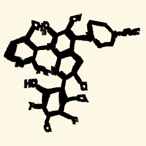 CC(=O)N1CCN(c2c(C#N)c(=O)n(-c3c(C)ccnc3C(C)C)c3nc(-c4c(O)c(F)c(Cl)c(F)c4Cl)c(Cl)cc23)CC1